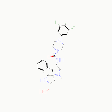 C[C@@H]1CN(c2cc(F)c(F)c(F)c2)CCN1C(=O)NCCN(C)[C@@]1(Cc2ccccc2)CN[C@@H](CO)C1